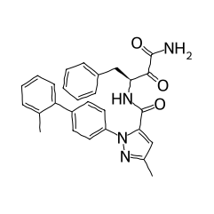 Cc1cc(C(=O)N[C@@H](Cc2ccccc2)C(=O)C(N)=O)n(-c2ccc(-c3ccccc3C)cc2)n1